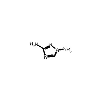 Nc1ncn(N)n1